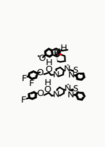 CN(c1nc2ccccc2s1)C1CCN(CC(O)COc2ccc(F)cc2)CC1.CN(c1nc2ccccc2s1)C1CCN(C[C@H](O)COc2ccc(F)c(F)c2)CC1.COc1ccc2c(c1)[C@]13CCCC[C@@H]1[C@H](C2)N(C)CC3